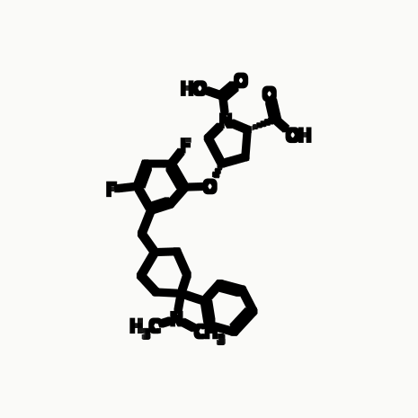 CN(C)C1(c2ccccc2)CCC(Cc2cc(O[C@H]3C[C@@H](C(=O)O)N(C(=O)O)C3)c(F)cc2F)CC1